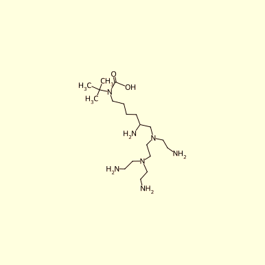 CC(C)(C)N(CCCCC(N)CN(CCN)CCN(CCN)CCN)C(=O)O